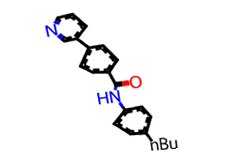 CCCCc1ccc(NC(=O)c2ccc(-c3cccnc3)cc2)cc1